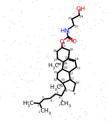 CC(C)CCC[C@@H](C)[C@H]1CCC2C3CC=C4CC(OC(=O)NCCCO)CC[C@]4(C)C3CC[C@@]21C